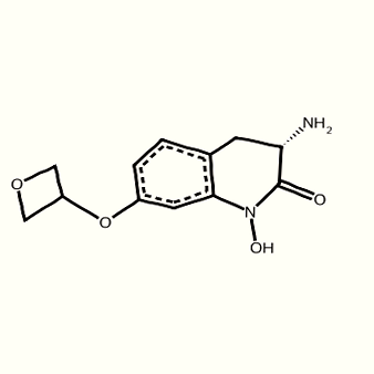 N[C@H]1Cc2ccc(OC3COC3)cc2N(O)C1=O